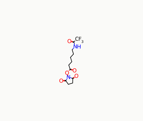 O=C(CCCCCNC(=O)C(F)(F)F)ON1C(=O)CCC1=O